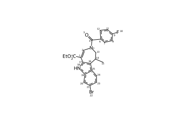 CCOC(=O)C1=CN(C(=O)c2ccc(F)cc2)CC(C)c2c1[nH]c1cc(Br)ccc21